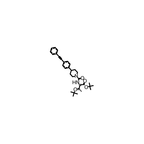 C[C@@H](OC(C)(C)C)[C@H](NC(=O)N1CCC(c2ccc(C#Cc3ccccc3)cc2)CC1)C(=O)OC(C)(C)C